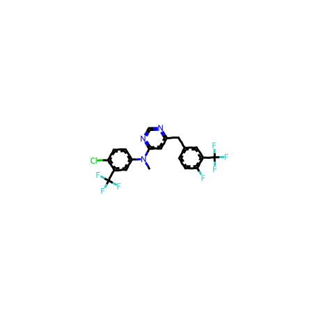 CN(c1ccc(Cl)c(C(F)(F)F)c1)c1cc(Cc2ccc(F)c(C(F)(F)F)c2)ncn1